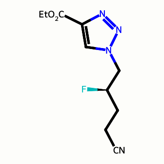 CCOC(=O)c1cn(C[C@H](F)CCC#N)nn1